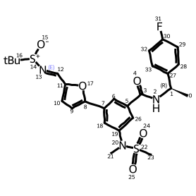 C[C@@H](NC(=O)c1cc(-c2ccc(/C=N/[S+]([O-])C(C)(C)C)o2)cc(N(C)S(C)(=O)=O)c1)c1ccc(F)cc1